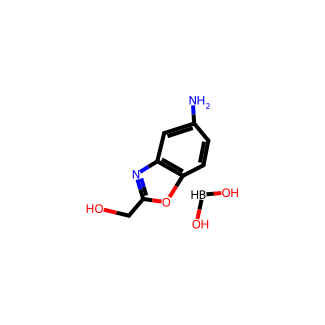 Nc1ccc2oc(CO)nc2c1.OBO